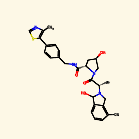 Cc1ncsc1-c1ccc(CNC(=O)[C@@H]2C[C@@H](O)CN2C(=O)[C@H](C(C)C)N2Cc3c(C#N)cccc3C2O)cc1